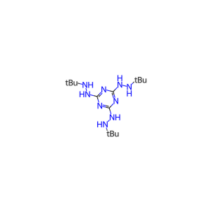 CC(C)(C)NNc1nc(NNC(C)(C)C)nc(NNC(C)(C)C)n1